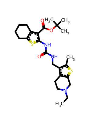 CCN1CCc2c(sc(C)c2CNC(=O)Nc2sc3c(c2C(=O)OC(C)(C)C)CCCC3)C1